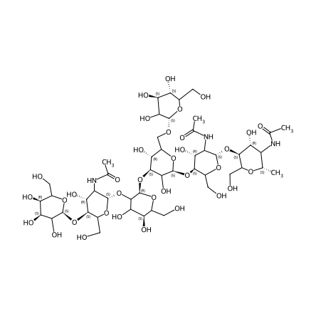 CC(=O)NC1[C@H](OC2C(O)[C@H](O)C(CO)O[C@@H]2O[C@@H]2C(O)[C@H](O[C@@H]3C(CO)O[C@@H](O[C@@H]4C(CO)O[C@@H](C)C(NC(C)=O)[C@H]4O)C(NC(C)=O)[C@H]3O)OC(CO[C@H]3OC(CO)[C@@H](O)[C@H](O)C3O)[C@H]2O)OC(CO)[C@@H](O[C@@H]2OC(CO)[C@H](O)[C@H](O)C2O)[C@@H]1O